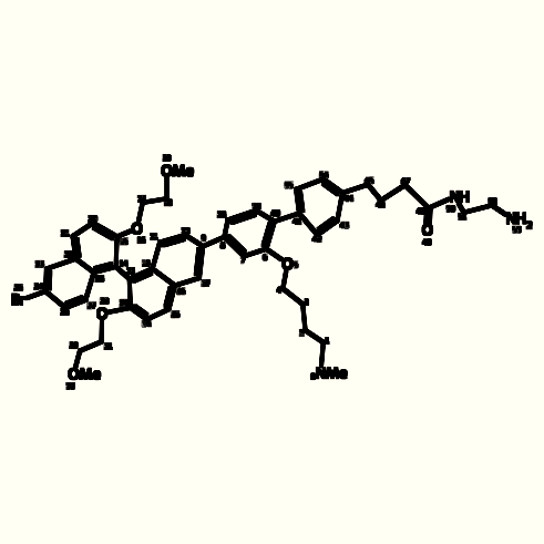 CNCCCCOc1cc(-c2ccc3c(-c4c(OCCOC)ccc5cc(Br)ccc45)c(OCCOC)ccc3c2)ccc1-c1ccc(CCCC(=O)NCCN)cc1